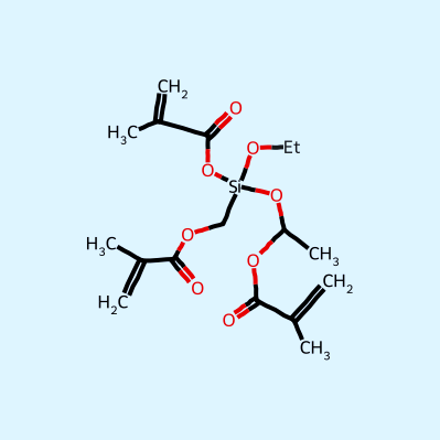 C=C(C)C(=O)OC[Si](OCC)(OC(=O)C(=C)C)OC(C)OC(=O)C(=C)C